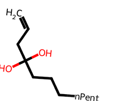 C=CCC(O)(O)CCCCCCCC